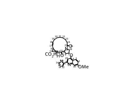 COc1ccc2c(OC3CC4C(=O)NC5(C(=O)O)CC5C=CCCCCCCC(=O)N4C3)cc(-c3cscn3)nc2c1